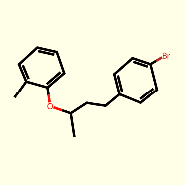 Cc1ccccc1OC(C)CCc1ccc(Br)cc1